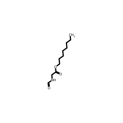 CCCCCCCCOC(=O)CNC=O